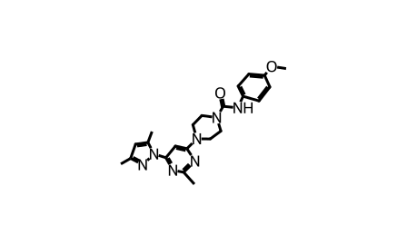 COc1ccc(NC(=O)N2CCN(c3cc(-n4nc(C)cc4C)nc(C)n3)CC2)cc1